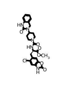 COC(=O)[C@@H](Cc1cc2oc(=O)[nH]c2cc1Cl)NC(=O)N1CCC(N2Cc3ccccc3NC2=O)CC1